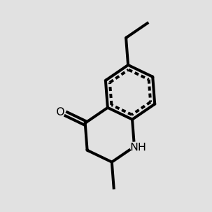 CCc1ccc2c(c1)C(=O)CC(C)N2